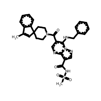 CC1=CC2(CCN(C(=O)c3cnc4c(C(=O)NS(C)(=O)=O)cnn4c3NCc3ccccc3)CC2)c2ccccc21